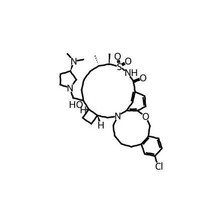 C[C@@H]1[C@@H](C)CCC[C@](O)(CN2CC[C@@H](N(C)C)C2)[C@@H]2CC[C@H]2CN2CCCCc3cc(Cl)ccc3COc3ccc(cc32)C(=O)NS1(=O)=O